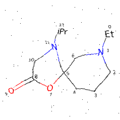 CCN1CCCC2(C1)OC(=O)CN2C(C)C